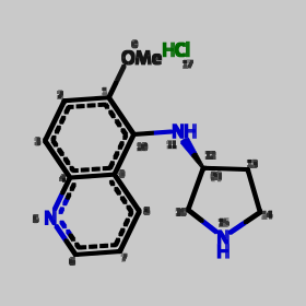 COc1ccc2ncccc2c1N[C@H]1CCNC1.Cl